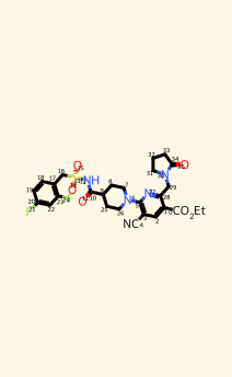 CCOC(=O)c1cc(C#N)c(N2CCC(C(=O)NS(=O)(=O)Cc3ccc(F)cc3F)CC2)nc1CN1CCCC1=O